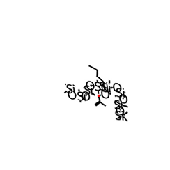 C=C(C)CO[Si](CCCC)([Si](C)(C)O[Si](C)(C)O[Si](C)(C)O[Si](C)(C)C)[Si](C)(C)O[Si](C)(C)O[Si](C)(C)O[Si](C)(C)C